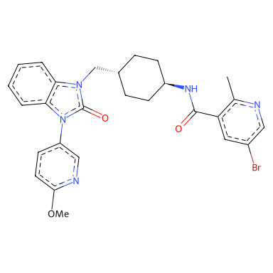 COc1ccc(-n2c(=O)n(C[C@H]3CC[C@H](NC(=O)c4cc(Br)cnc4C)CC3)c3ccccc32)cn1